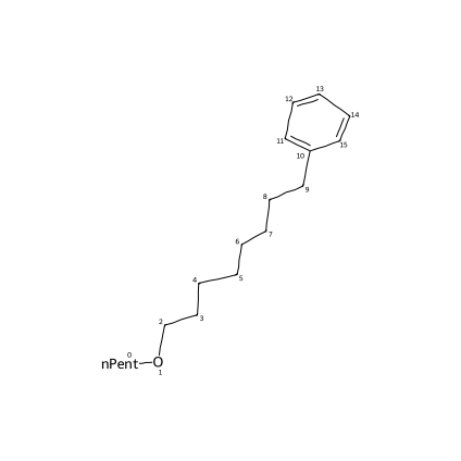 [CH2]CCCCOCCCCCCCCc1ccccc1